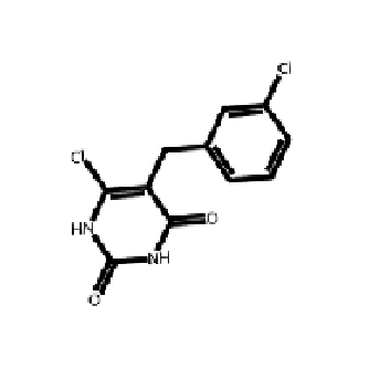 O=c1[nH]c(Cl)c(Cc2cccc(Cl)c2)c(=O)[nH]1